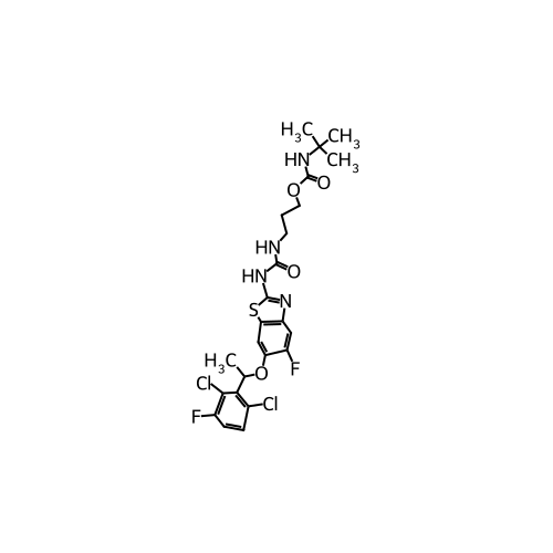 CC(Oc1cc2sc(NC(=O)NCCCOC(=O)NC(C)(C)C)nc2cc1F)c1c(Cl)ccc(F)c1Cl